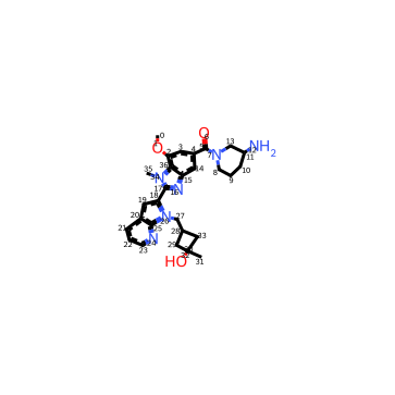 COc1cc(C(=O)N2CCCC(N)C2)cc2nc(-c3cc4cccnc4n3CC3CC(C)(O)C3)n(C)c12